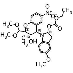 CCOC(=O)O[C@@H]1Cc2cc(OC)ccc2N1[C@@H]1c2cc([N+](=O)[O-])ccc2O[C@](C)(C(OC)OC)[C@H]1O